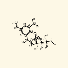 CCC(F)(F)C(F)(F)C(F)(F)S(=O)(=O)Oc1c(C(C)C)cc(C=O)cc1C(C)C